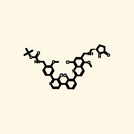 COc1cc(-c2nccc(-c3cccc(-c4ccc5c(OC)c(CNC[C@@H]6CCC(=O)N6)cc(Cl)c5n4)c3Cl)c2Cl)ccc1CNC(=O)OC(C)(C)C